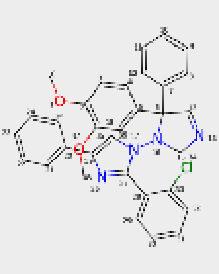 COc1ccc(C2(c3ccccc3)C=NCN2n2cc(-c3ccccc3)nc2-c2ccccc2Cl)cc1OC